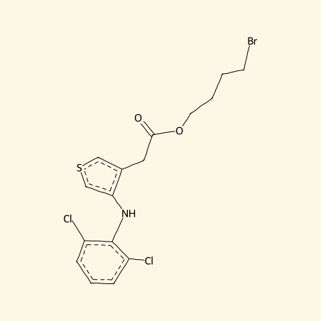 O=C(Cc1cscc1Nc1c(Cl)cccc1Cl)OCCCCBr